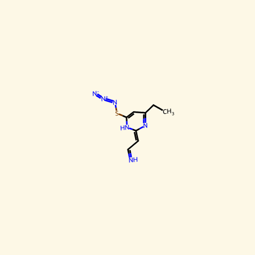 CCC1=N/C(=C/C=N)NC(SN=[N+]=[N-])=C1